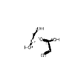 O=CC(=O)O.OCCO